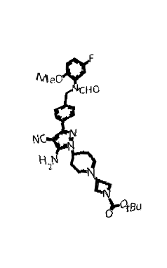 COc1ccc(F)cc1N(C=O)Cc1ccc(-c2nn(C3CCN(C4CN(C(=O)OC(C)(C)C)C4)CC3)c(N)c2C#N)cc1